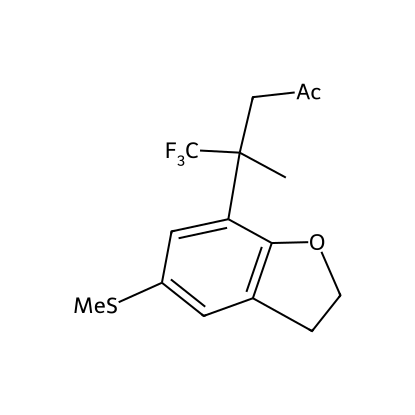 CSc1cc2c(c(C(C)(CC(C)=O)C(F)(F)F)c1)OCC2